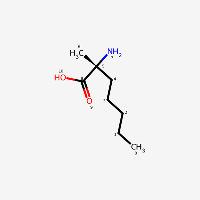 CCCCC[C@@](C)(N)C(=O)O